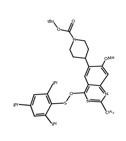 COc1cc2nc(C)nc(OSc3c(C(C)C)cc(C(C)C)cc3C(C)C)c2cc1C1CCN(C(=O)OC(C)(C)C)CC1